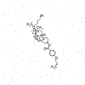 C=CCOc1ccc(C(=O)O[C@H]2CC[C@@]3(C)C(=CC[C@H]4[C@@H]5CC[C@H]([C@H](C)CCCC(C)C)[C@@]5(C)CC[C@@H]43)C2)cc1